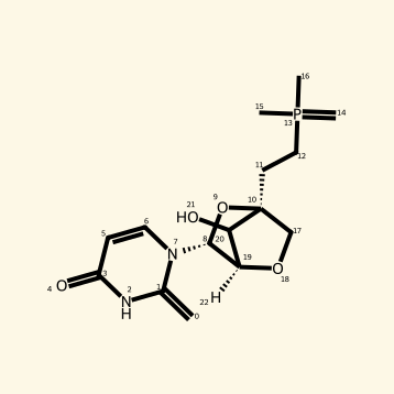 C=C1NC(=O)C=CN1[C@@H]1O[C@@]2(CCP(=C)(C)C)CO[C@@H]1C2O